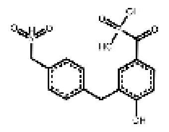 O=C(c1ccc(O)c(Cc2ccc(C[SH](=O)=O)cc2)c1)P(=O)(O)O